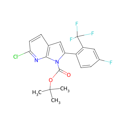 CC(C)(C)OC(=O)n1c(-c2ccc(F)cc2C(F)(F)F)cc2ccc(Cl)nc21